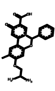 Cc1cc2c(cc1OCC(P)P)OC(c1ccccc1)n1cc(C(=O)O)c(=O)cc1-2